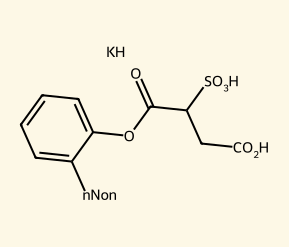 CCCCCCCCCc1ccccc1OC(=O)C(CC(=O)O)S(=O)(=O)O.[KH]